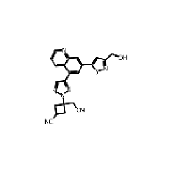 N#CCC1(n2ncc(-c3cc(-c4cc(CO)ns4)cc4ncccc34)n2)CC(C#N)C1